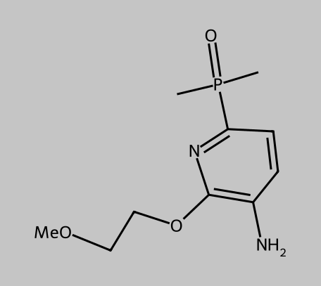 COCCOc1nc(P(C)(C)=O)ccc1N